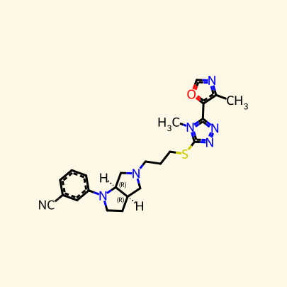 Cc1ncoc1-c1nnc(SCCCN2C[C@H]3CCN(c4cccc(C#N)c4)[C@H]3C2)n1C